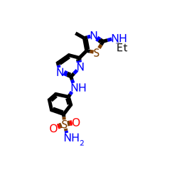 CCNc1nc(C)c(-c2ccnc(Nc3cccc(S(N)(=O)=O)c3)n2)s1